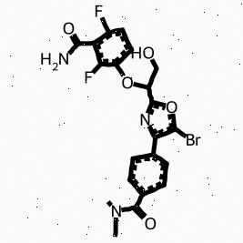 CN(C)C(=O)c1ccc(-c2nc(C(CO)Oc3ccc(F)c(C(N)=O)c3F)oc2Br)cc1